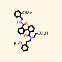 CCOc1ccccc1CCN(CCC(=O)O)C(=O)c1ccccc1-c1ccccc1C(=O)NCc1ccccc1OC